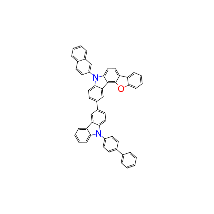 c1ccc(-c2ccc(-n3c4ccccc4c4cc(-c5ccc6c(c5)c5c7oc8ccccc8c7ccc5n6-c5ccc6ccccc6c5)ccc43)cc2)cc1